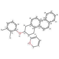 C1=CCOC=C1.Cc1cccc(OC2CCc3c(ccc4c3ccc3ccccc34)C2)c1C